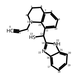 C#CCN1CCCc2cccc(C(S)c3nc4ccccc4[nH]3)c21